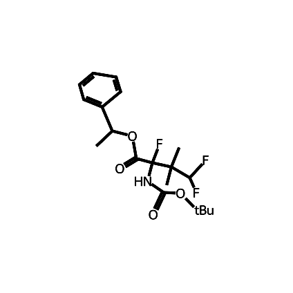 CC(OC(=O)C(F)(NC(=O)OC(C)(C)C)C(C)(C)C(F)F)c1ccccc1